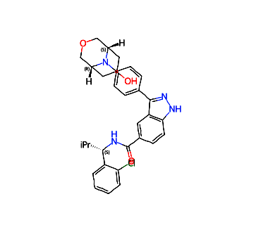 CC(C)[C@H](NC(=O)c1ccc2[nH]nc(-c3ccc(N4[C@@H]5COC[C@H]4CC(O)C5)cc3)c2c1)c1ccccc1Cl